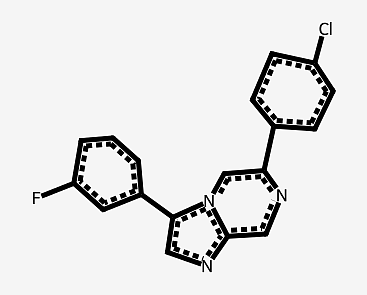 Fc1cccc(-c2cnc3cnc(-c4ccc(Cl)cc4)cn23)c1